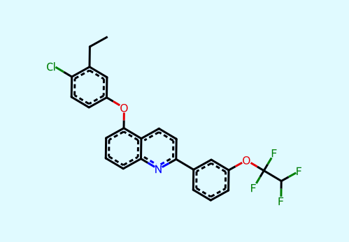 CCc1cc(Oc2cccc3nc(-c4cccc(OC(F)(F)C(F)F)c4)ccc23)ccc1Cl